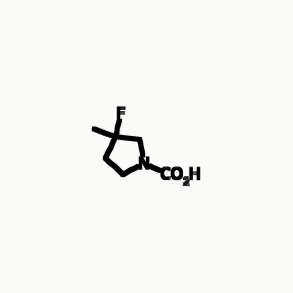 CC1(F)CCN(C(=O)O)C1